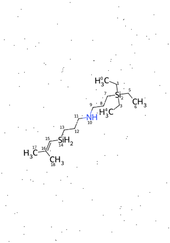 CC[Si](CC)(CC)CCCNCCC[SiH2]C=C(C)C